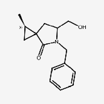 C[C@@H]1CC12CC(CO)N(Cc1ccccc1)C2=O